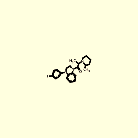 CC1CCCCN1C(C)C(=O)N1CCN(c2ccc(F)cc2)c2ccccc21